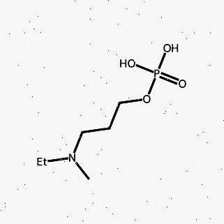 CCN(C)CCCOP(=O)(O)O